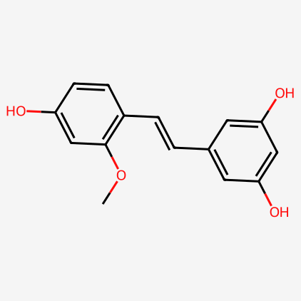 COc1cc(O)ccc1/C=C/c1cc(O)cc(O)c1